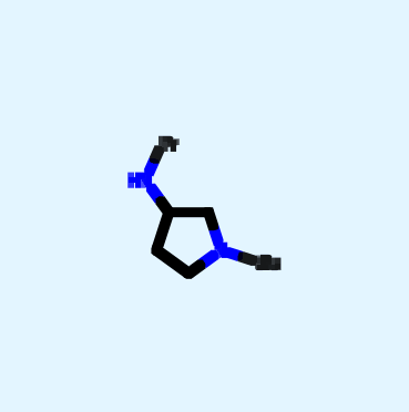 CC(C)NC1CCN(C(C)(C)C)C1